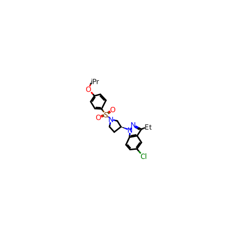 CCc1nn([C@H]2CCN(S(=O)(=O)c3ccc(OC(C)C)cc3)C2)c2ccc(Cl)cc12